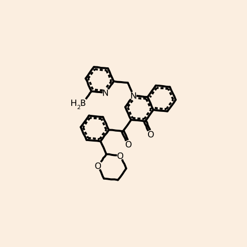 Bc1cccc(Cn2cc(C(=O)c3ccccc3C3OCCCO3)c(=O)c3ccccc32)n1